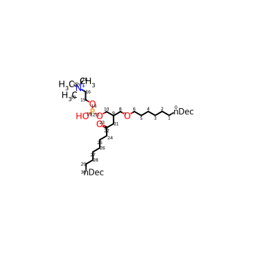 CCCCCCCCCCCCCCCCOCC(COP(O)OCC[N+](C)(C)C)CC(=O)CCCCCCCCCCCCCCCC